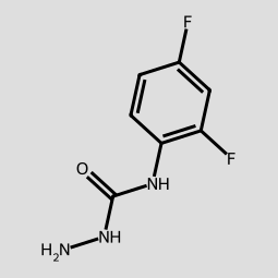 NNC(=O)Nc1ccc(F)cc1F